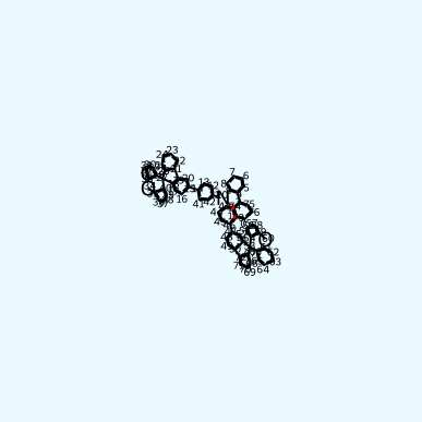 c1ccc(-c2ccccc2N(c2ccc(-c3ccc4c(c3)-c3ccccc3C43c4ccccc4Oc4ccccc43)cc2)c2ccc(-c3ccc4c(c3)C3(c5ccccc5Oc5ccccc53)c3ccccc3-4)cc2)cc1